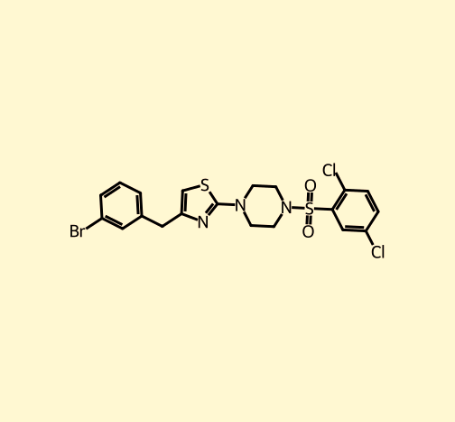 O=S(=O)(c1cc(Cl)ccc1Cl)N1CCN(c2nc(Cc3cccc(Br)c3)cs2)CC1